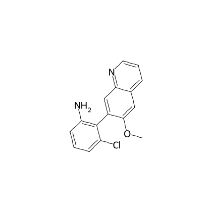 COc1cc2cccnc2cc1-c1c(N)cccc1Cl